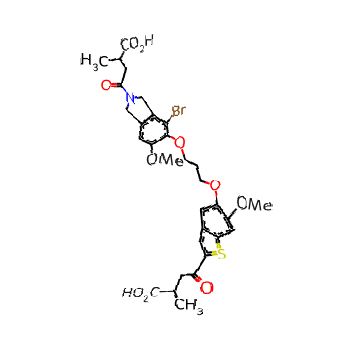 COc1cc2sc(C(=O)CC(C)C(=O)O)cc2cc1OCCCOc1c(OC)cc2c(c1Br)CN(C(=O)CC(C)C(=O)O)C2